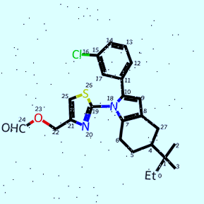 CCC(C)(C)C1CCc2c(cc(-c3cccc(Cl)c3)n2-c2nc(COC=O)cs2)C1